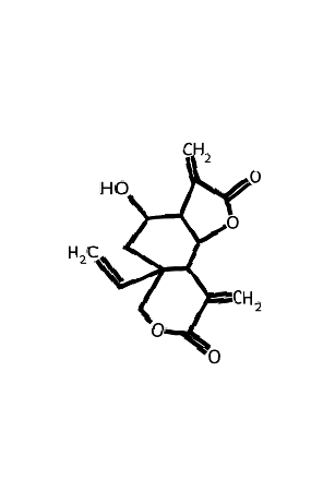 C=CC12COC(=O)C(=C)C1C1OC(=O)C(=C)C1C(O)C2